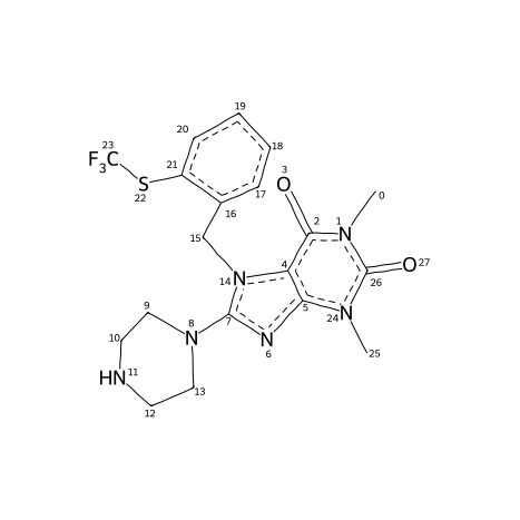 Cn1c(=O)c2c(nc(N3CCNCC3)n2Cc2ccccc2SC(F)(F)F)n(C)c1=O